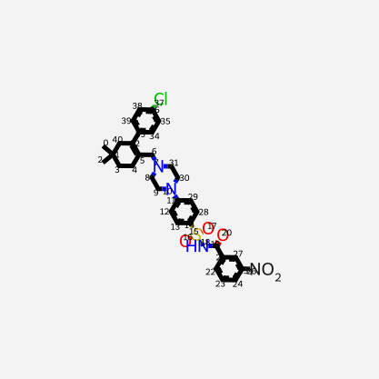 CC1(C)CCC(CN2CCN(c3ccc(S(=O)(=O)NC(=O)c4cccc([N+](=O)[O-])c4)cc3)CC2)=C(c2ccc(Cl)cc2)C1